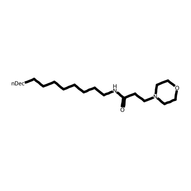 CCCCCCCCCCCCCCCCCCNC(=O)CCN1CCOCC1